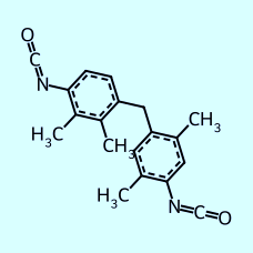 Cc1cc(N=C=O)c(C)cc1Cc1ccc(N=C=O)c(C)c1C